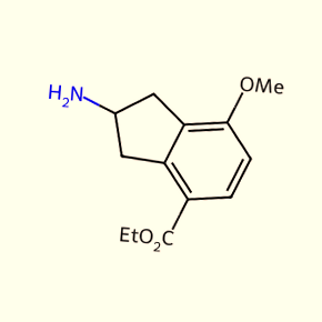 CCOC(=O)c1ccc(OC)c2c1CC(N)C2